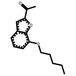 CCCCCOc1cccc2cc(C(C)=O)oc12